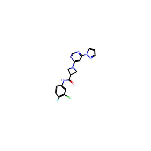 O=C(Nc1ccc(F)c(Cl)c1)C1CN(c2cc(-n3cccn3)ncn2)C1